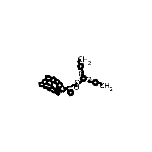 C=Cc1ccc(COc2cc(COC(=O)CCCC3(c4ccccc4)C4c5cc6c7c8c(cc9ccc%10cc%11c%12c%13c(cc(c%14c5c7c(c%14%13)c5c8c9c%10c%125)C43)C%11)C6)cc(OCc3ccc(C=C)cc3)c2)cc1